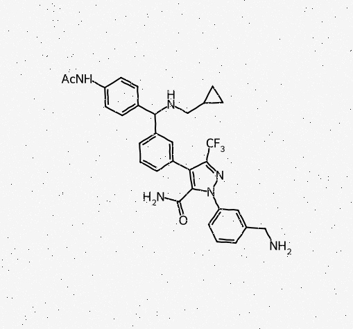 CC(=O)Nc1ccc(C(NCC2CC2)c2cccc(-c3c(C(F)(F)F)nn(-c4cccc(CN)c4)c3C(N)=O)c2)cc1